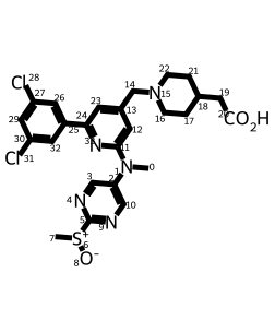 CN(c1cnc([S+](C)[O-])nc1)c1cc(CN2CCC(CC(=O)O)CC2)cc(-c2cc(Cl)cc(Cl)c2)n1